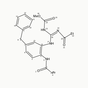 CCCC(=O)Nc1ccc(Sc2ccccc2)cc1NC(=NC(=O)CC)NC(=O)OC